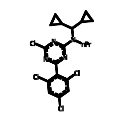 CCCN(c1nc(Cl)nc(-c2c(Cl)cc(Cl)cc2Cl)n1)C(C1CC1)C1CC1